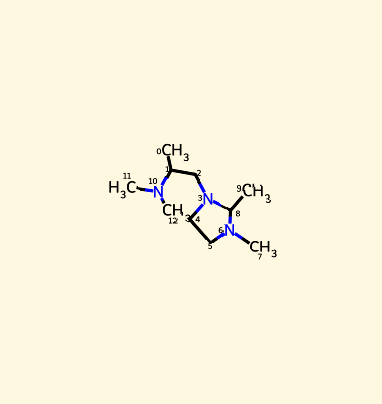 CC(CN1CCN(C)C1C)N(C)C